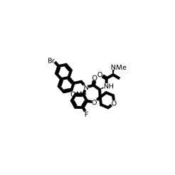 CN[C@@H](C)C(=O)N[C@H]1C(=O)N(Cc2c(OC)ccc3cc(Br)ccc23)c2cccc(F)c2OC12CCOCC2